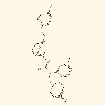 O=C(OC1C[N+]2(CCc3ccc(F)cc3)CCC1CC2)N(Cc1ccc(F)cc1)c1cccc(F)c1